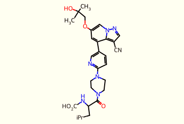 CC(C)CC(NC(=O)O)C(=O)N1CCN(c2ccc(-c3cc(OCC(C)(C)O)cn4ncc(C#N)c34)cn2)CC1